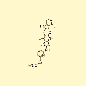 Cn1c(Nc2cccc(C3CC3C(=O)O)n2)nc2c1c(=O)n(Cc1cc3c(Cl)cccc3[nH]1)c(=O)n2C